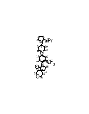 CC(C)C1CCCN1C1CCN(c2ccc(N3CCC4(CCOCC4)C3=O)c(C(F)(F)F)c2)CC1